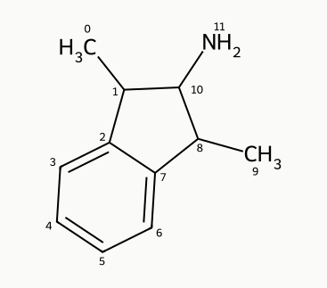 CC1c2ccccc2C(C)C1N